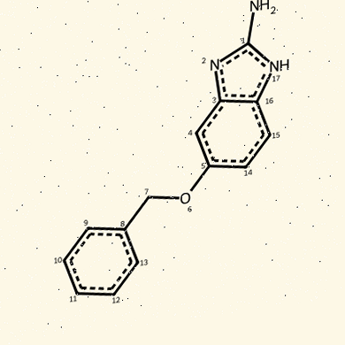 Nc1nc2cc(OCc3ccccc3)ccc2[nH]1